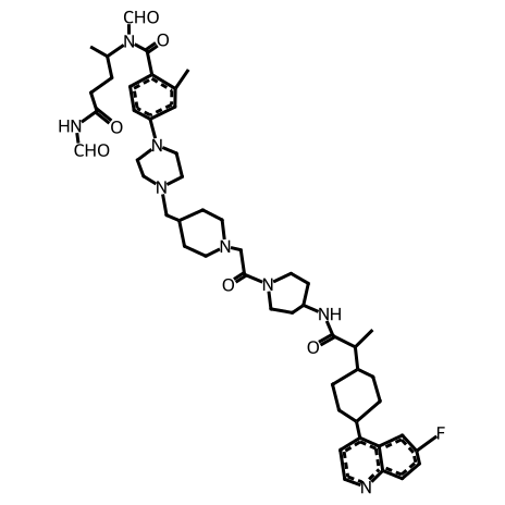 Cc1cc(N2CCN(CC3CCN(CC(=O)N4CCC(NC(=O)C(C)C5CCC(c6ccnc7ccc(F)cc67)CC5)CC4)CC3)CC2)ccc1C(=O)N(C=O)C(C)CCC(=O)NC=O